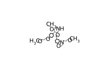 CCCO[C@@H]1CNC[C@H](OCc2ccc3c(c2)N(CCCOC)CCO3)[C@H]1c1ccc(OCCCOC)cc1